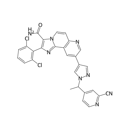 CC(c1ccnc(C#N)c1)n1cc(-c2cnc3ccn4c(C(N)=O)c(-c5c(Cl)cccc5Cl)nc4c3c2)cn1